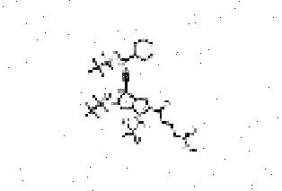 COC(=O)CCCC(=O)C1CC2C(C[C@H](O[Si](C)(C)C(C)(C)C)[C@H]2C#C[C@H](O[Si](C)(C)C(C)(C)C)C2CCCCC2)[C@H]1OS(C)(=O)=O